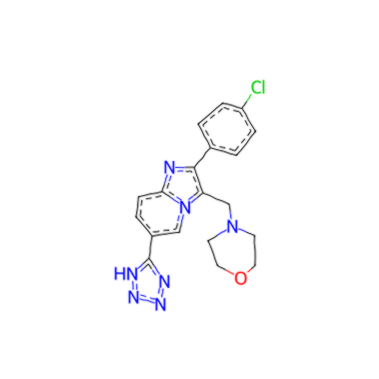 Clc1ccc(-c2nc3ccc(-c4nnn[nH]4)cn3c2CN2CCOCC2)cc1